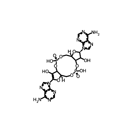 Nc1ncnc2c1ncn2C1=C(O)C2OP(=O)(O)OC[C@@H]3O[C@@H](n4cnc5c(N)ncnc54)C(O)C3OP(=O)(O)OC[C@@H]2O1